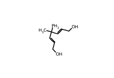 CC(P)(C=CCO)C=CCO